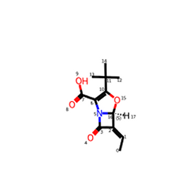 CC=C1C(=O)N2C(C(=O)O)=C(C(C)(C)C)O[C@@H]12